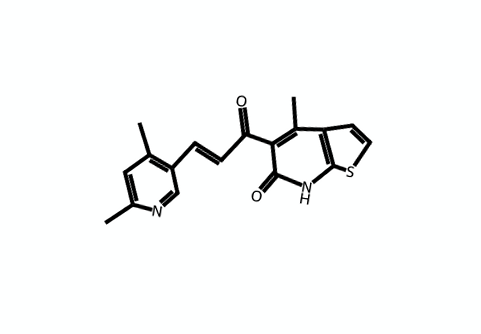 Cc1cc(C)c(/C=C/C(=O)c2c(C)c3ccsc3[nH]c2=O)cn1